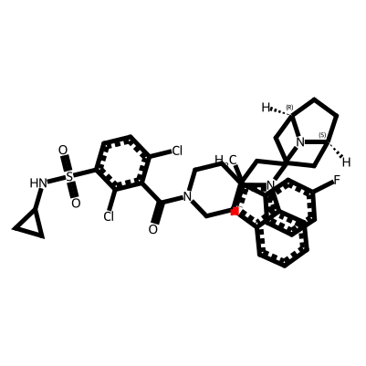 Cc1nc2ccccc2n1C1C[C@H]2CC[C@@H](C1)N2CCC1(c2cccc(F)c2)CCN(C(=O)c2c(Cl)ccc(S(=O)(=O)NC3CC3)c2Cl)CC1